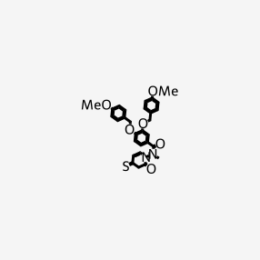 COc1ccc(COc2ccc(C(=O)N(C)N3C=CC(=S)CC3=O)cc2OCc2ccc(OC)cc2)cc1